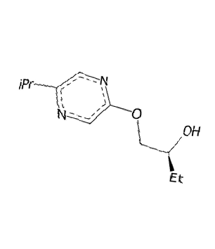 CC[C@H](O)COc1cnc(C(C)C)cn1